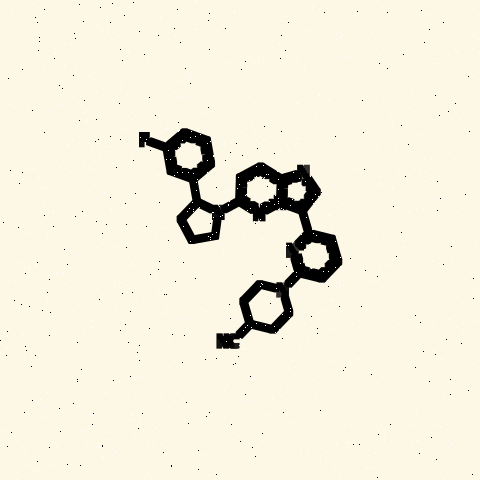 N#CC1CCN(c2cccc(-c3cnc4ccc(N5CCCC5c5cccc(F)c5)nn34)n2)CC1